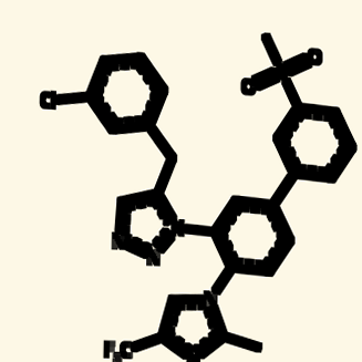 Cc1nc(C(F)(F)F)cn1-c1ccc(-c2cccc(S(C)(=O)=O)c2)cc1-n1nncc1Cc1cccc(Cl)c1